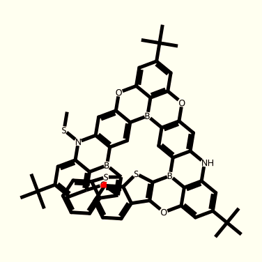 CSN1c2cc3c(cc2B2c4sc5ccccc5c4Oc4cc(C(C)(C)C)cc1c42)B1c2cc4c(cc2Oc2cc(C(C)(C)C)cc(c21)O3)Nc1cc(C(C)(C)C)cc2c1B4c1sc3ccccc3c1O2